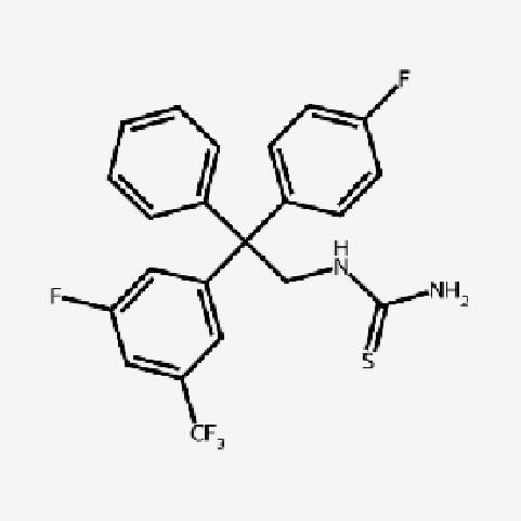 NC(=S)NCC(c1ccccc1)(c1ccc(F)cc1)c1cc(F)cc(C(F)(F)F)c1